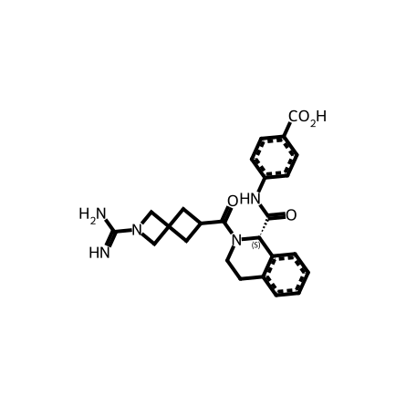 N=C(N)N1CC2(CC(C(=O)N3CCc4ccccc4[C@H]3C(=O)Nc3ccc(C(=O)O)cc3)C2)C1